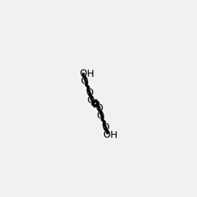 OCCOCCCCOCCOc1ccc(OCCOCCCCOCCO)cc1